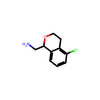 NCC1OCCc2c(Cl)cccc21